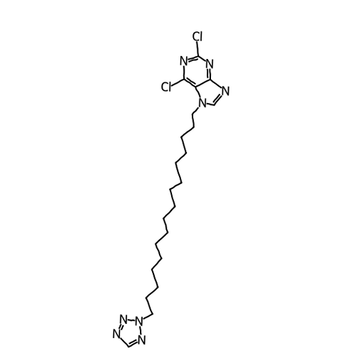 Clc1nc(Cl)c2c(ncn2CCCCCCCCCCCCCCCCn2ncnn2)n1